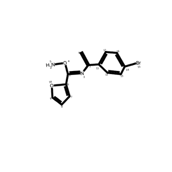 C=C(/N=C(\ON)c1ccco1)c1ccc(Br)cc1